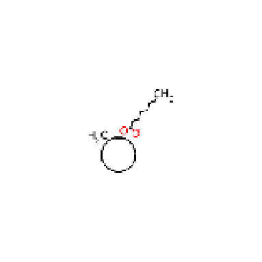 CCCCCCCC(=O)OC1=CC(C)CCCCCCCCCCCC1